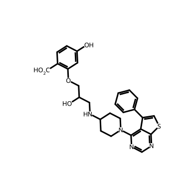 O=C(O)c1ccc(O)cc1OCC(O)CNC1CCN(c2ncnc3scc(-c4ccccc4)c23)CC1